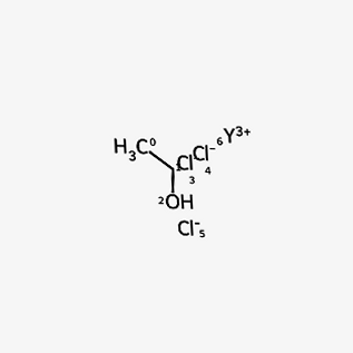 CCO.[Cl-].[Cl-].[Cl-].[Y+3]